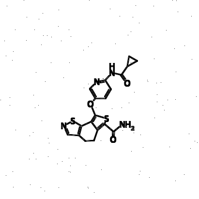 NC(=O)c1sc(Oc2ccc(NC(=O)C3CC3)nc2)c2c1CCc1cnsc1-2